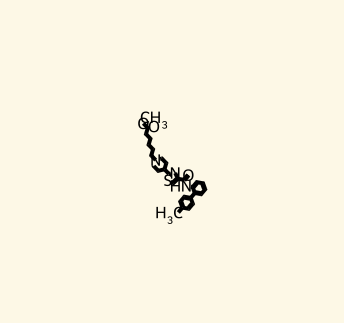 COC(=O)CCCCCN1CCC(c2nc(C(=O)Nc3ccccc3-c3ccc(C)cc3)cs2)CC1